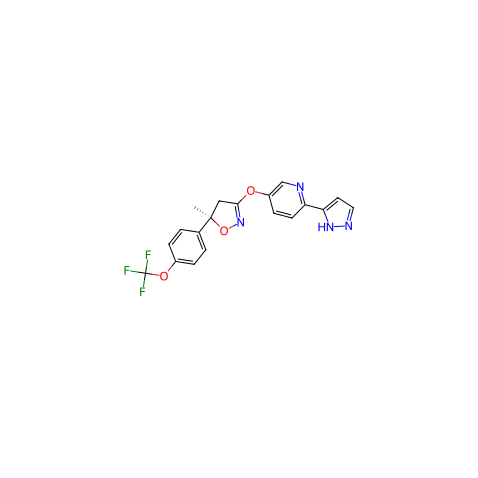 C[C@]1(c2ccc(OC(F)(F)F)cc2)CC(Oc2ccc(-c3ccn[nH]3)nc2)=NO1